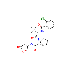 CC(C)(C)C(NC(=O)c1ccccc1Cl)C(=O)N1C2CCC(C2)C1C(=O)NC1COC(=O)C1